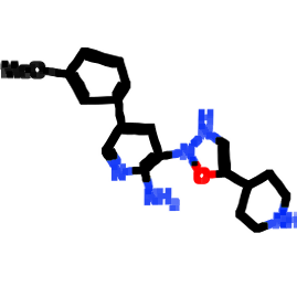 COc1cccc(-c2cnc(N)c(N3NC=C(C4CCNCC4)O3)c2)c1